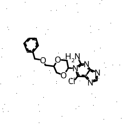 Nc1nc2ncnc-2c(Cl)n1C1COC(COCc2ccccc2)CO1